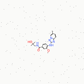 COc1cc(C(=O)NCC(C)(C)O)ccc1Nc1nc2ccc(C)cn2n1